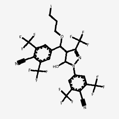 N#Cc1c(C(F)(F)F)cc(C(OCCCI)C2C(C(F)(F)F)=NN(c3cc(C(F)(F)F)c(C#N)c(C(F)(F)F)c3)C2O)cc1C(F)(F)F